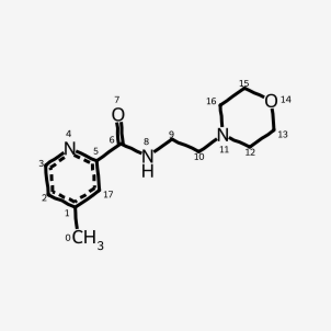 Cc1ccnc(C(=O)NCCN2CCOCC2)c1